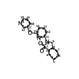 O=S1(=O)c2ccccc2CN1c1cccc(Oc2cccnc2)n1